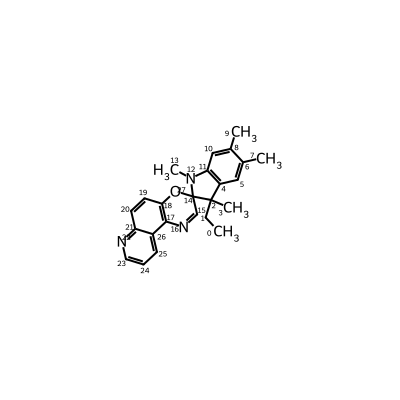 CCC1(C)c2cc(C)c(C)cc2N(C)C12C=Nc1c(ccc3ncccc13)O2